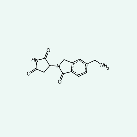 NCc1ccc2c(c1)CN(C1CC(=O)NC1=O)C2=O